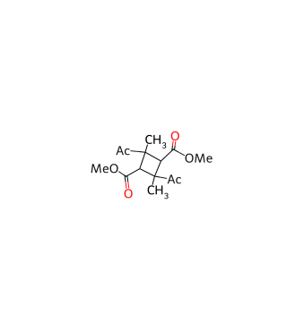 COC(=O)C1C(C)(C(C)=O)C(C(=O)OC)C1(C)C(C)=O